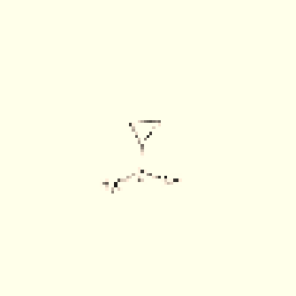 C[C@@H]([NH])C1CC1